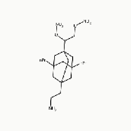 CCCC12CC3(CCC)CC(CCN)(C1)CC(C(CO[N+](=O)[O-])O[N+](=O)[O-])(C2)C3